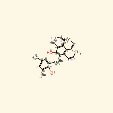 C/C=C\c1c(/C=C\C)c(C(C)(C)C)c(O)c(C(C)(C)C)c1/C=C\C.Cc1cc(C)c(O)c(C(C)(C)C)c1